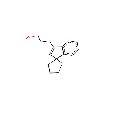 BrCCCC1=CC2(CCCC2)c2ccccc21